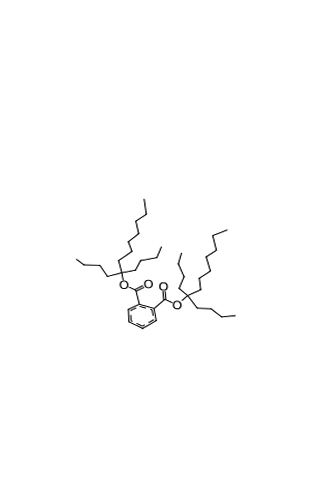 CCCCCCCC(CCCC)(CCCC)OC(=O)c1ccccc1C(=O)OC(CCCC)(CCCC)CCCCCCC